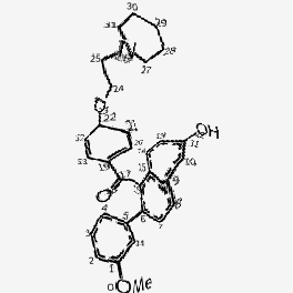 COc1cccc(-c2ccc3cc(O)ccc3c2C(=O)C2=CCC(OCCN3CCCCC3)C=C2)c1